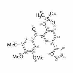 COc1cc(C(=O)c2cc(-c3ccco3)ccc2OS(C)(=O)=O)cc(OC)c1OC